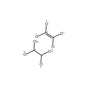 ClC(Cl)=C(Cl)Cl.ClC(Cl)C(Cl)Cl